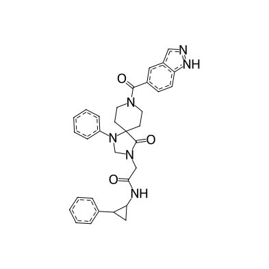 O=C(CN1CN(c2ccccc2)C2(CCN(C(=O)c3ccc4[nH]ncc4c3)CC2)C1=O)NC1CC1c1ccccc1